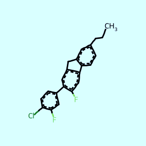 CCCc1ccc2c(c1)Cc1cc(-c3ccc(Cl)c(F)c3)c(F)cc1-2